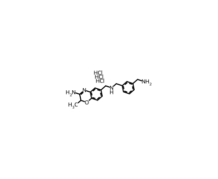 CC1Oc2ccc(CNCc3cccc(CN)c3)cc2N=C1N.Cl.Cl.Cl